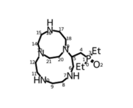 CCP(=O)(CC)CC1CNCCNCCN2CCNCCN1CC2